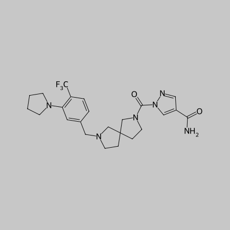 NC(=O)c1cnn(C(=O)N2CCC3(CCN(Cc4ccc(C(F)(F)F)c(N5CCCC5)c4)C3)C2)c1